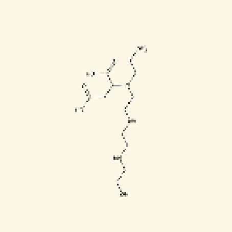 NCCN(CCNCCNCCO)C(CC(=O)O)C(=O)O